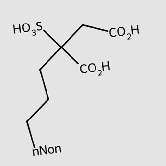 CCCCCCCCCCCCC(CC(=O)O)(C(=O)O)S(=O)(=O)O